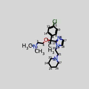 CN(C)CCOC(C)(c1ccc(Cl)cc1)c1nccn1CCN1CCCCC1